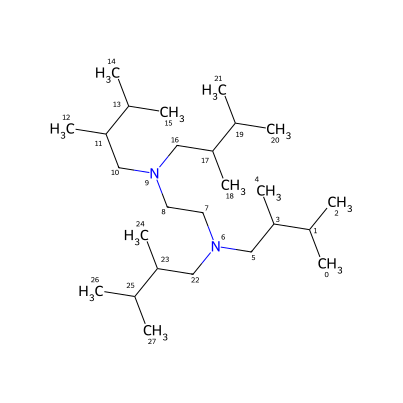 CC(C)C(C)CN(CCN(CC(C)C(C)C)CC(C)C(C)C)CC(C)C(C)C